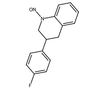 O=NN1CC(c2ccc(F)cc2)Cc2ccccc21